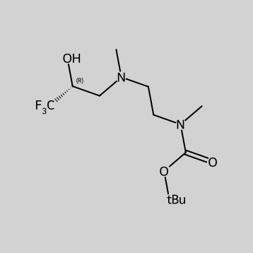 CN(CCN(C)C(=O)OC(C)(C)C)C[C@@H](O)C(F)(F)F